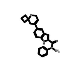 CN(C(=O)c1cc2cc(C3=CCOC4(CCC4)C3)ccc2[nH]1)c1ccccc1